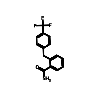 NC(=O)c1ccccc1Cc1ccc(C(F)(F)F)cc1